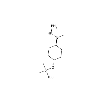 CN(PP)[C@H]1CC[C@H](O[Si](C)(C)C(C)(C)C)CC1